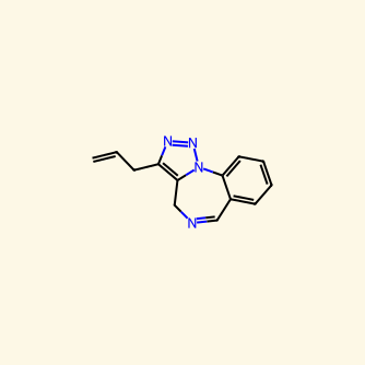 C=CCc1nnn2c1CN=Cc1ccccc1-2